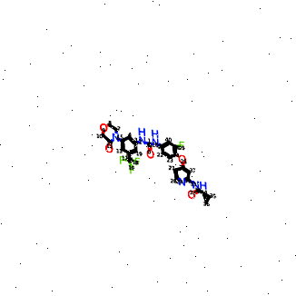 O=C(Nc1cc(N2CCOCC2=O)cc(C(F)(F)F)c1)Nc1ccc(Oc2ccnc(NC(=O)C3CC3)c2)c(F)c1